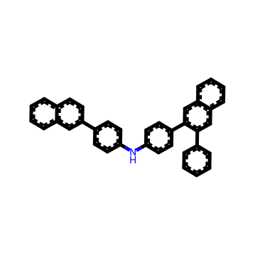 c1ccc(-c2cc3ccccc3cc2-c2ccc(Nc3ccc(-c4ccc5ccccc5c4)cc3)cc2)cc1